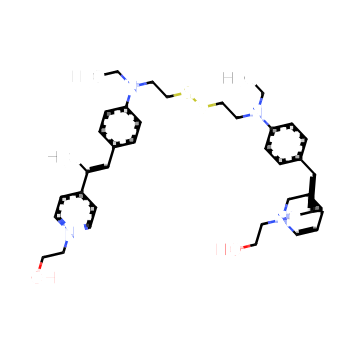 CCN(CCSSCCN(CC)c1ccc(/C=C(\C)c2cc[n+](CCO)cc2)cc1)c1ccc(/C=C2\C[N+]3(CCO)C=CC2=CC3)cc1